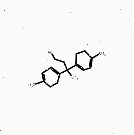 CC(=O)CCC(C)(C1=CC=C(C)CC1)C1=CC=C(C)CC1